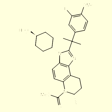 COC(=O)N1c2ccc3c(nc(C(C)(C)c4ccc(OC)c(F)c4)n3[C@H]3CC[C@H](C(=O)O)CC3)c2CC[C@@H]1C